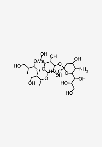 CO[C@H](OC(CO)[C@H](C)O[C@@H]1OC(CO)[C@H](O)C(O[C@]2(C(=O)O)C[C@@H](O)[C@@H](N)C([C@H](O)[C@H](O)CO)O2)C1O)[C@@H](C)CO